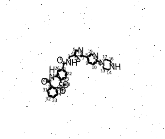 O=C(NCc1cnc(-c2ccc(N3CCNCC3)nc2)s1)c1ccc2c(c1)NC(=O)c1ccccc1S2(=O)=O